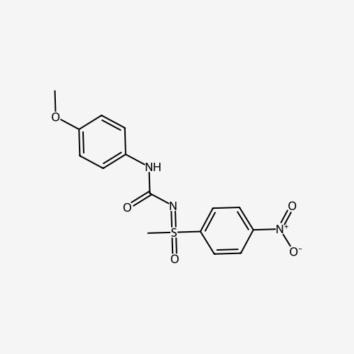 COc1ccc(NC(=O)N=S(C)(=O)c2ccc([N+](=O)[O-])cc2)cc1